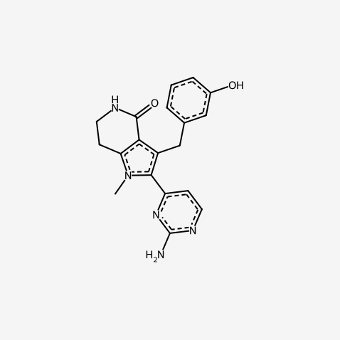 Cn1c2c(c(Cc3cccc(O)c3)c1-c1ccnc(N)n1)C(=O)NCC2